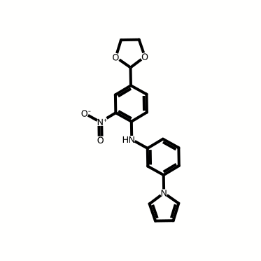 O=[N+]([O-])c1cc(C2OCCO2)ccc1Nc1cccc(-n2cccc2)c1